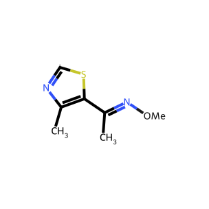 CO/N=C(\C)c1s[c]nc1C